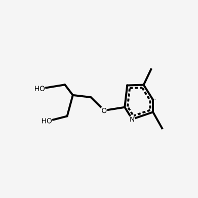 Cc1[c]c(C)nc(OCC(CO)CO)c1